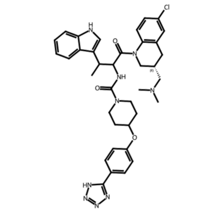 CC(c1c[nH]c2ccccc12)C(NC(=O)N1CCC(Oc2ccc(-c3nnn[nH]3)cc2)CC1)C(=O)N1C[C@@H](CN(C)C)Cc2cc(Cl)ccc21